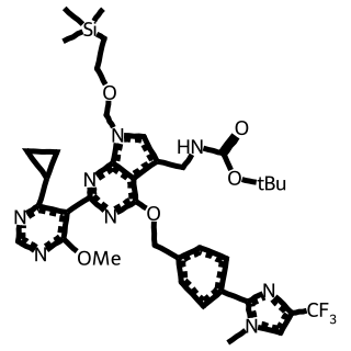 COc1ncnc(C2CC2)c1-c1nc(OCc2ccc(-c3nc(C(F)(F)F)cn3C)cc2)c2c(CNC(=O)OC(C)(C)C)cn(COCC[Si](C)(C)C)c2n1